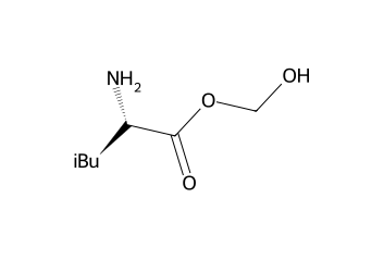 CC[C@H](C)[C@H](N)C(=O)OCO